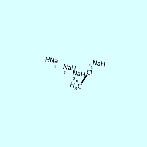 CCl.[NaH].[NaH].[NaH].[NaH]